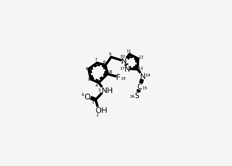 O=C(O)Nc1cccc(Cn2ccc(N=C=S)n2)c1F